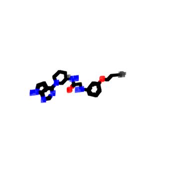 CC(C)CCOc1cccc(NCC(=O)N[C@@H]2CCCN(c3ncnc4[nH]ccc34)C2)c1